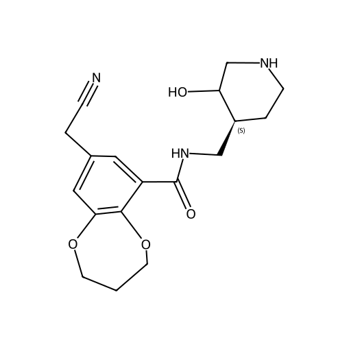 N#CCc1cc2c(c(C(=O)NC[C@@H]3CCNCC3O)c1)OCCCO2